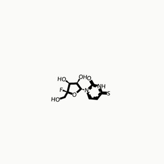 O=c1[nH]c(=S)ccn1[C@@H]1O[C@](F)(CO)[C@@H](O)[C@H]1O